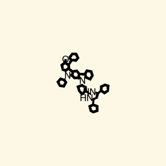 C1=C(c2ccccc2)NC(c2cccc(-n3c4ccccc4c4cc5c6c7c(ccc6n(-c6ccccc6)c5cc43)oc3ccccc37)c2)NC1c1ccccc1